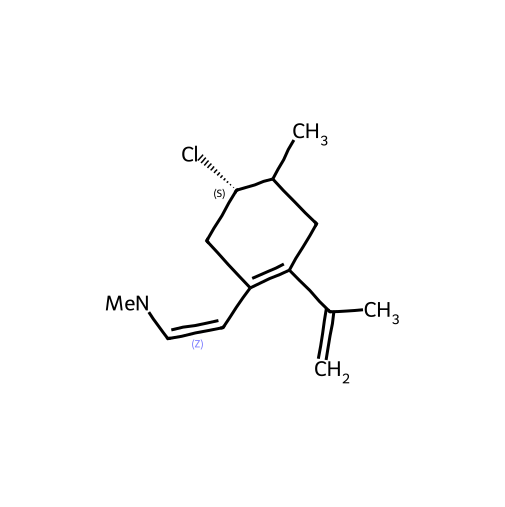 C=C(C)C1=C(/C=C\NC)C[C@H](Cl)C(C)C1